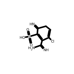 N=C(N)C1=C(S(=O)(=O)O)C(=N)CC=C1Cl